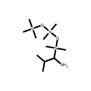 CC(C)C(N)[Si](C)(C)O[Si](C)(C)O[Si](C)(C)C